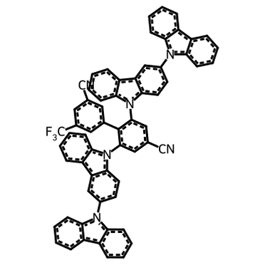 N#Cc1cc(-c2c(-n3c4ccccc4c4cc(-n5c6ccccc6c6ccccc65)ccc43)cc(C#N)cc2-n2c3ccccc3c3cc(-n4c5ccccc5c5ccccc54)ccc32)cc(C(F)(F)F)c1